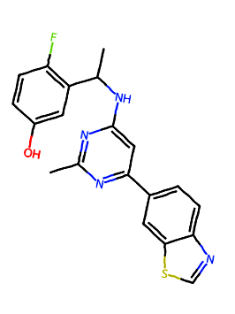 Cc1nc(NC(C)c2cc(O)ccc2F)cc(-c2ccc3ncsc3c2)n1